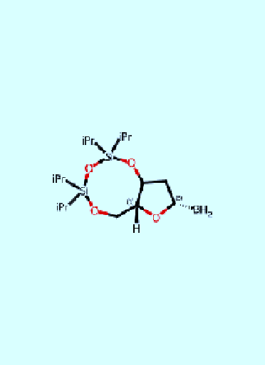 B[C@H]1CC2O[Si](C(C)C)(C(C)C)O[Si](C(C)C)(C(C)C)OC[C@H]2O1